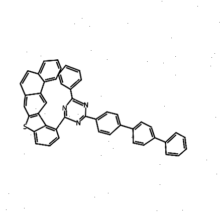 c1ccc(-c2ccc(-c3ccc(-c4nc(-c5ccccc5)nc(-c5cccc6sc7cc8ccc9ccccc9c8cc7c56)n4)cc3)cc2)cc1